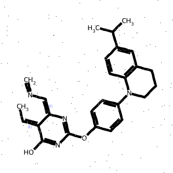 C=N/C=c1/nc(Oc2ccc(N3CCCc4cc(C(C)C)ccc43)cc2)nc(O)/c1=C/C